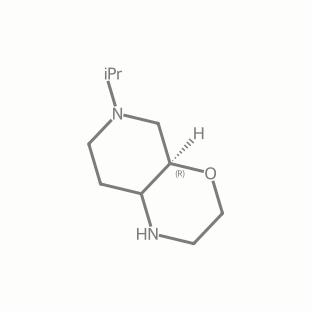 CC(C)N1CCC2NCCO[C@@H]2C1